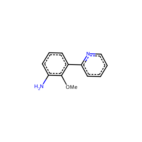 COc1c(N)cccc1-c1ccccn1